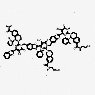 CN(C)C(=O)c1ccc2c(c1)C(c1nccn1C)N(c1nc(-c3nc4ccccc4o3)c(O)c(=O)n1Cc1ccc3nc(-c4nc(N5CCc6ccc(C(=O)N(C)CCO)cc6[C@H]5C5C=CC=CC5(C)F)n(Cc5ccc6nc(-c7nc(N8CCc9ccc(C(=O)N(C)CCO)cc9[C@@H]8c8ccccc8F)n(C)c(=O)c7O)oc6c5)c(=O)c4O)oc3c1)CC2